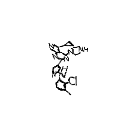 Cc1cccc(Nc2cc(-c3nc(N4CCNCC4)c4c(C5CC5)cncc4n3)ccn2)c1Cl